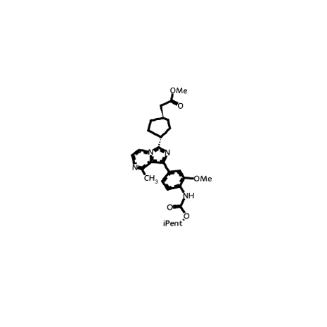 CCC[C@H](C)OC(=O)Nc1ccc(-c2nc([C@H]3CC[C@H](CC(=O)OC)CC3)n3ccnc(C)c23)cc1OC